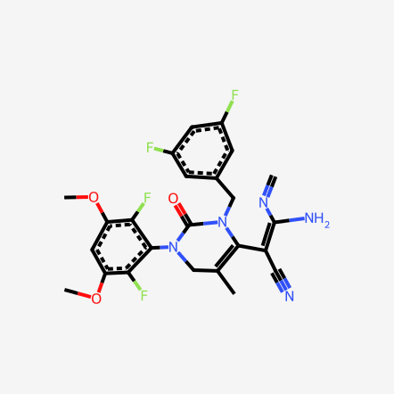 C=N/C(N)=C(/C#N)C1=C(C)CN(c2c(F)c(OC)cc(OC)c2F)C(=O)N1Cc1cc(F)cc(F)c1